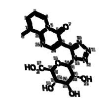 Cc1cccn2c(=O)c(-c3nnnn3[C@@H]3O[C@H](C(=O)O)[C@@H](O)[C@H](O)[C@H]3O)cnc12